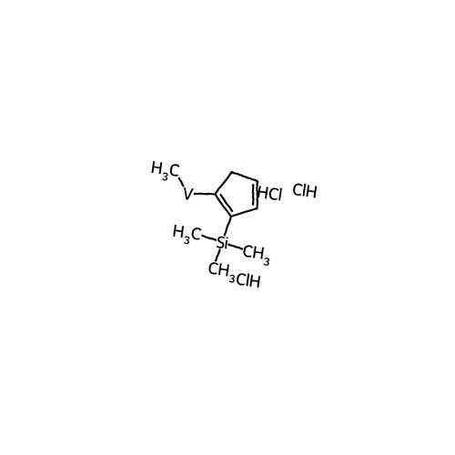 Cl.Cl.Cl.[CH3][V][C]1=C([Si](C)(C)C)C=CC1